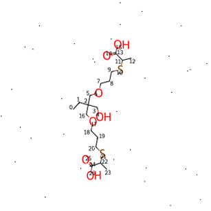 CCC(CO)(COCCCSC(C)C(=O)O)COCCCSC(C)C(=O)O